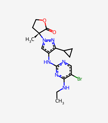 CCNc1nc(Nc2cn([C@]3(C)CCOC3=O)nc2C2CC2)ncc1Br